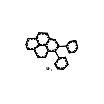 N.c1ccc(-c2cc3ccc4cccc5ccc(c2-c2ccccc2)c3c45)cc1